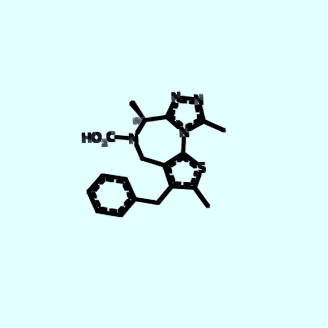 Cc1sc2c(c1Cc1ccccc1)CN(C(=O)O)[C@@H](C)c1nnc(C)n1-2